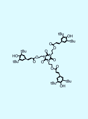 CC(C)(C)c1cc(C=CC(=O)OCCn2c(=O)n(CCOC(=O)C=Cc3cc(C(C)(C)C)c(O)c(C(C)(C)C)c3)c(=O)n(CCOC(=O)C=Cc3cc(C(C)(C)C)c(O)c(C(C)(C)C)c3)c2=O)cc(C(C)(C)C)c1O